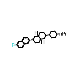 CCCC1CCC(C2CC[C@@H]3C[C@H](c4ccc5cc(F)ccc5c4)CC[C@@H]3C2)CC1